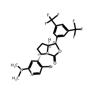 CN(C)c1cc([C@@H]2CC[C@H]3[C@@H](c4cc(C(F)(F)F)cc(C(F)(F)F)c4)OC(=O)N23)c(Br)cn1